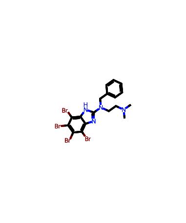 CN(C)CCN(Cc1ccccc1)c1nc2c(Br)c(Br)c(Br)c(Br)c2[nH]1